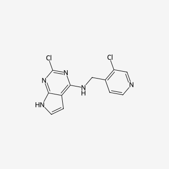 Clc1nc(NCc2ccncc2Cl)c2cc[nH]c2n1